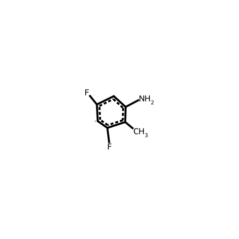 Cc1c(F)[c]c(F)cc1N